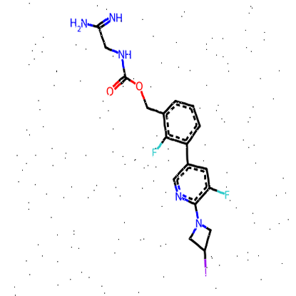 N=C(N)CNC(=O)OCc1cccc(-c2cnc(N3CC(I)C3)c(F)c2)c1F